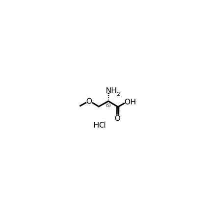 COC[C@H](N)C(=O)O.Cl